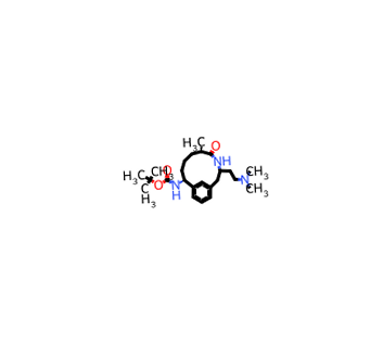 C[C@@H]1CCC[C@H](NC(=O)OC(C)(C)C)c2cccc(c2)CC(CCN(C)C)NC1=O